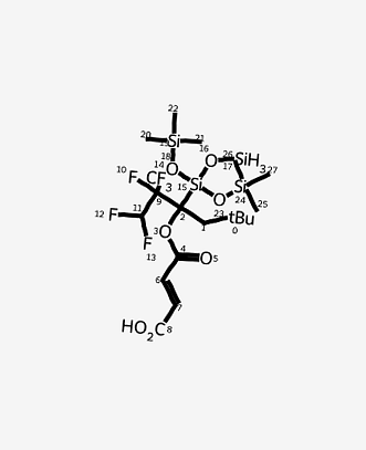 CC(C)(C)CC(OC(=O)C=CC(=O)O)(C(F)(C(F)F)C(F)(F)F)[Si](O[SiH3])(O[Si](C)(C)C)O[Si](C)(C)C